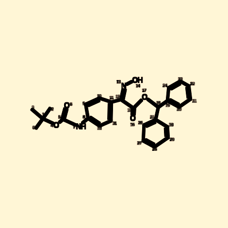 CC(C)(C)OC(=O)Nc1ccc(C(=NO)C(=O)OC(c2ccccc2)c2ccccc2)cc1